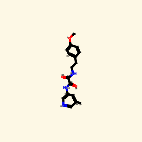 COc1ccc(CCNC(=O)C(=O)Nc2cncc(C)c2)cc1